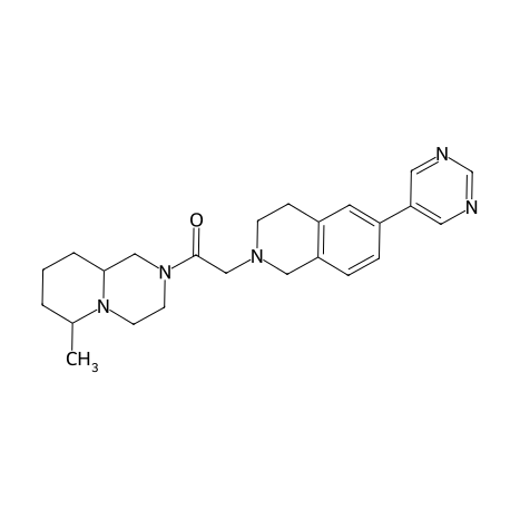 CC1CCCC2CN(C(=O)CN3CCc4cc(-c5cncnc5)ccc4C3)CCN12